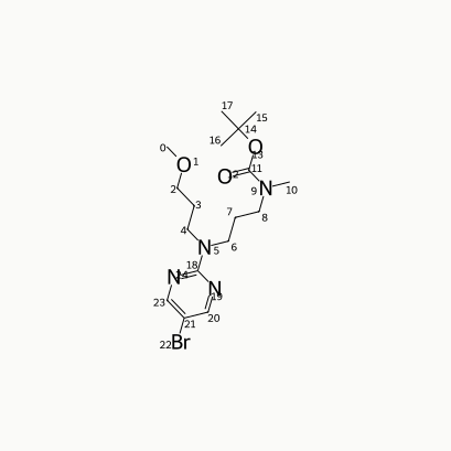 COCCCN(CCCN(C)C(=O)OC(C)(C)C)c1ncc(Br)cn1